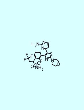 Nc1nccc(-c2sc(N3CCOCC3)nc2-c2cccc(C(CC(F)(F)F)S(N)(=O)=O)c2F)n1